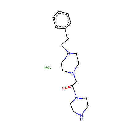 Cl.O=C(CN1CCN(CCc2ccccc2)CC1)N1CCNCC1